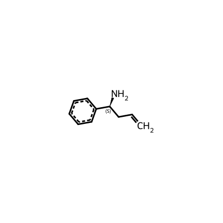 C=CC[C@H](N)c1ccccc1